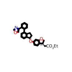 CCOC(=O)C[C@@H]1COc2cc(O[C@@H]3CCc4c(-c5ccccc5-c5cocn5)cccc43)ccc21